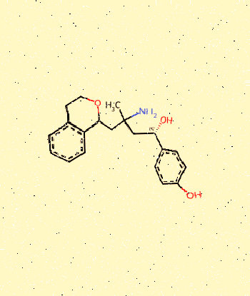 CC(N)(CC1OCCc2ccccc21)C[C@H](O)c1ccc(O)cc1